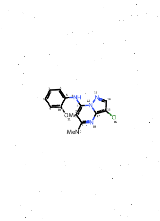 CNc1cc(Nc2cc[c]cc2OC)n2ncc(Cl)c2n1